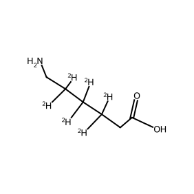 [2H]C([2H])(CN)C([2H])([2H])C([2H])([2H])CC(=O)O